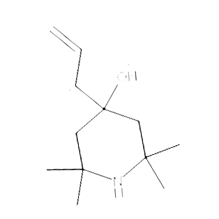 C=CCC1(O)CC(C)(C)NC(C)(C)C1